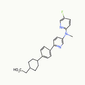 CN(c1ccc(-c2ccc(C3CCC(CC(=O)O)CC3)cc2)nc1)c1ccc(F)cn1